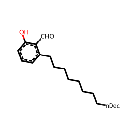 CCCCCCCCCCCCCCCCCCc1cccc(O)c1C=O